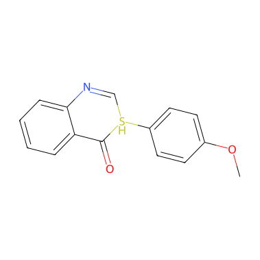 COc1ccc([SH]2C=Nc3ccccc3C2=O)cc1